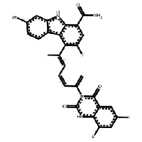 C=C(/C=C\C=C(/C)c1c(F)cc(C(N)=O)c2[nH]c3cc(C(C)C)ccc3c12)n1c(=O)[nH]c2c(F)cc(F)cc2c1=O